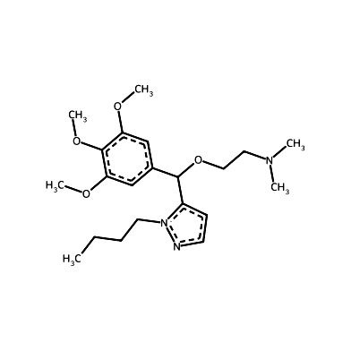 CCCCn1nccc1C(OCCN(C)C)c1cc(OC)c(OC)c(OC)c1